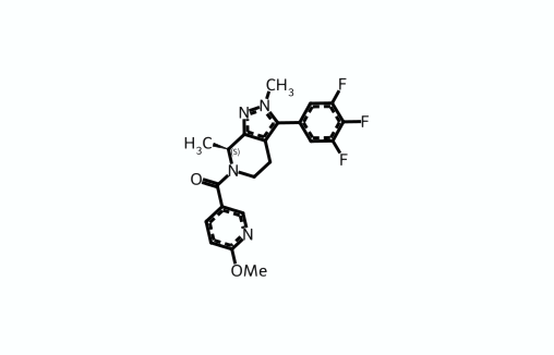 COc1ccc(C(=O)N2CCc3c(nn(C)c3-c3cc(F)c(F)c(F)c3)[C@@H]2C)cn1